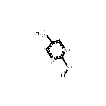 CCOC(=O)c1cnc(SCC)nc1